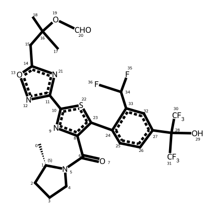 C[C@H]1CCCN1C(=O)c1nc(-c2noc(CC(C)(C)OC=O)n2)sc1-c1ccc(C(O)(C(F)(F)F)C(F)(F)F)cc1C(F)F